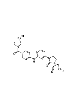 CC[C@]1(C#N)CCN(c2ccnc(Nc3ccc(C(=O)N4CC[C@@H](O)C4)cc3)n2)C1=O